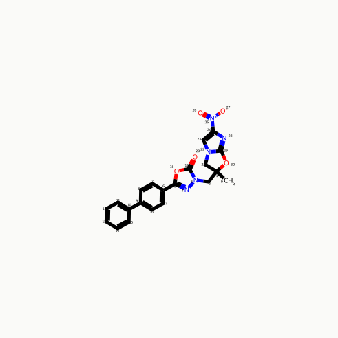 CC1(Cn2nc(-c3ccc(-c4ccccc4)cc3)oc2=O)Cn2cc([N+](=O)[O-])nc2O1